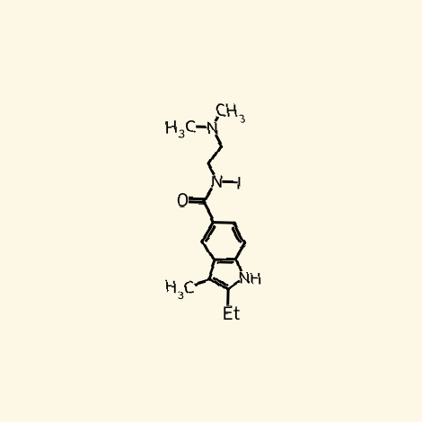 CCc1[nH]c2ccc(C(=O)N(I)CCN(C)C)cc2c1C